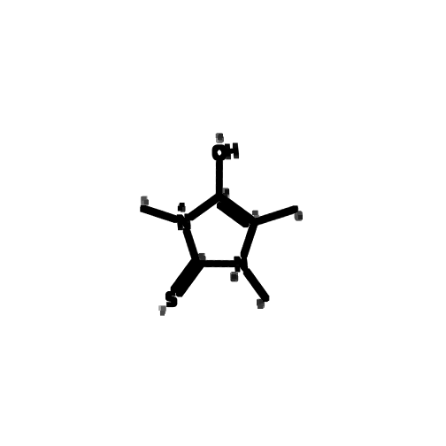 Cc1c(O)n(C)c(=S)n1C